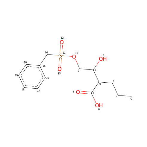 CCCC(C(=O)O)C(O)COS(=O)(=O)Cc1ccccc1